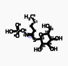 CSCC/C(=N\OS(=O)(=O)O)SC1OC(CO)C(O)C(O)C1O